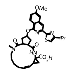 COc1ccc2c(OC3CC4C(=O)NC5(C(=O)O)CC5/C=C\CCCCN(C)C(=O)C4C3)nc(-c3nc(C(C)C)cs3)cc2c1